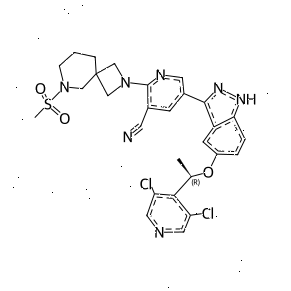 C[C@@H](Oc1ccc2[nH]nc(-c3cnc(N4CC5(CCCN(S(C)(=O)=O)C5)C4)c(C#N)c3)c2c1)c1c(Cl)cncc1Cl